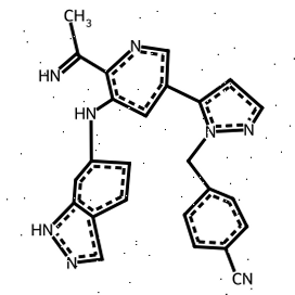 CC(=N)c1ncc(-c2ccnn2Cc2ccc(C#N)cc2)cc1Nc1ccc2cn[nH]c2c1